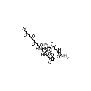 CC(=O)CCC(=O)CCC(=O)CCC(=O)CCC(=O)NCC[C@H](NC(=O)CN1C(=O)C=CC1=O)C(=O)N[C@H](C(=O)N[C@@H](C)CCCNC(N)=O)C(C)C